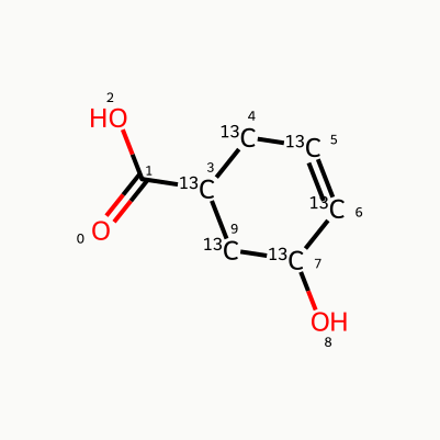 O=C(O)[13CH]1[13CH2][13CH]=[13CH][13CH](O)[13CH2]1